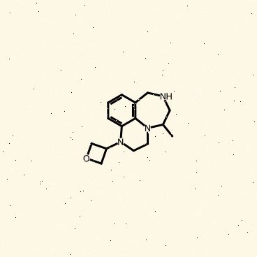 CC1CNCc2cccc3c2N1CCN3C1COC1